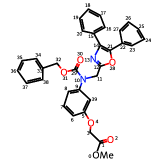 COC(=O)COc1cccc(N(Cc2nc(-c3ccccc3)c(-c3ccccc3)o2)C(=O)OCc2ccccc2)c1